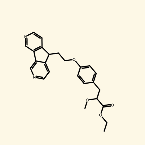 CCOC(=O)C(Cc1ccc(OCCC2c3ccncc3-c3cnccc32)cc1)OC